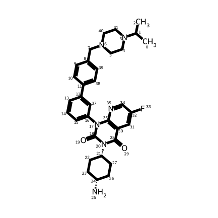 CC(C)N1CCN(Cc2ccc(-c3cccc(-n4c(=O)n([C@H]5CC[C@@H](N)CC5)c(=O)c5cc(F)cnc54)c3)cc2)CC1